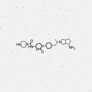 CC(Cc1ccc(-n2ccc(NC(=O)N3CCNCC3)nc2=O)cc1)N1CC2CCC(N)C2C1